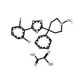 CN1CCC(c2ccccc2)(c2nc(-c3c(F)cccc3Cl)no2)CC1.O=C(O)C(=O)O